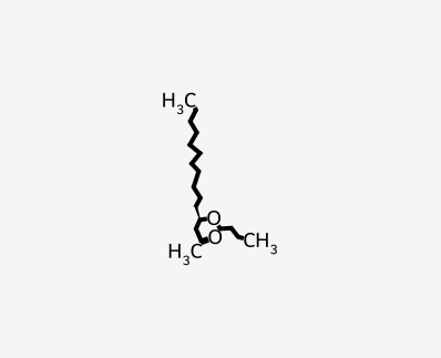 CCCCCCCCCCC[C@H](CC(C)=O)OCCCC